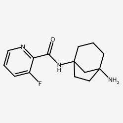 NC12CCCC(NC(=O)c3ncccc3F)(CC1)C2